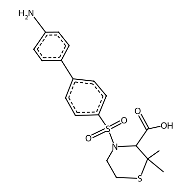 CC1(C)SCCN(S(=O)(=O)c2ccc(-c3ccc(N)cc3)cc2)C1C(=O)O